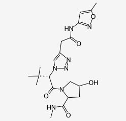 CNC(=O)C1CC(O)CN1C(=O)[C@@H](n1cc(CC(=O)Nc2cc(C)on2)nn1)C(C)(C)C